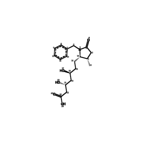 C[C@H]1CC(=O)N(Cc2ccccc2)[C@H]1CC[C@H](O)C[C@@H](O)CC(=O)O